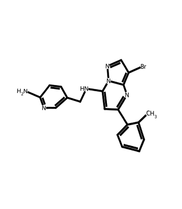 Cc1ccccc1-c1cc(NCc2ccc(N)nc2)n2ncc(Br)c2n1